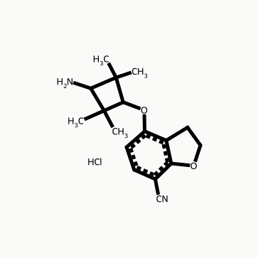 CC1(C)C(N)C(C)(C)C1Oc1ccc(C#N)c2c1CCO2.Cl